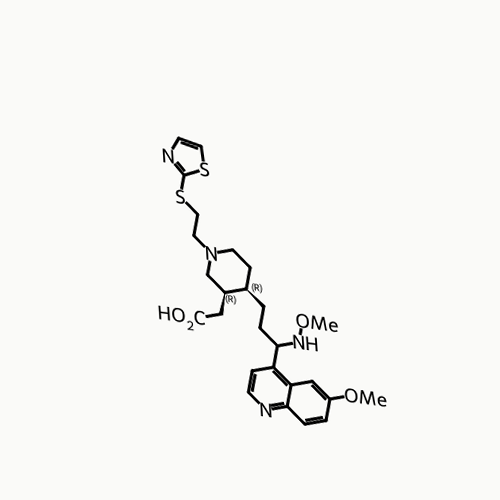 CONC(CC[C@@H]1CCN(CCSc2nccs2)C[C@@H]1CC(=O)O)c1ccnc2ccc(OC)cc12